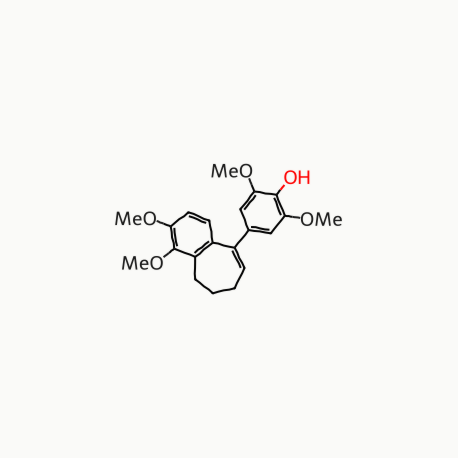 COc1cc(C2=CCCCc3c2ccc(OC)c3OC)cc(OC)c1O